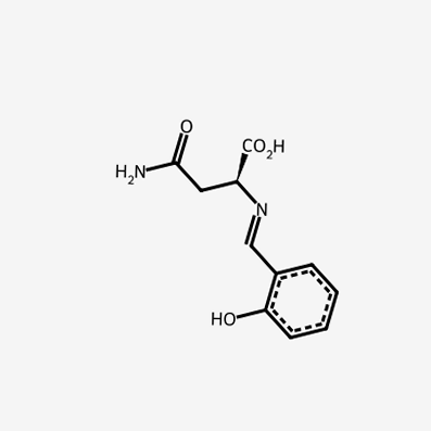 NC(=O)C[C@H](/N=C/c1ccccc1O)C(=O)O